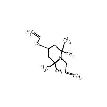 C=CCN1C(C)(C)CC(OC=C)CC1(C)C